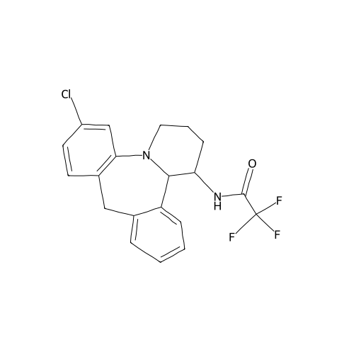 O=C(NC1CCCN2c3cc(Cl)ccc3Cc3ccccc3C12)C(F)(F)F